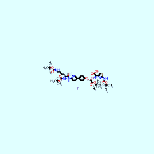 C[n+]1cc(-c2ccc(OC[C@H](O/N=C(\C(=O)O)c3csc(NC(=O)OC(C)(C)C)n3)C(=O)OC(C)(C)C)cc2)ccc1NC(=O)[C@H](CCCCNC(=O)OC(C)(C)C)NC(=O)OC(C)(C)C.[I-]